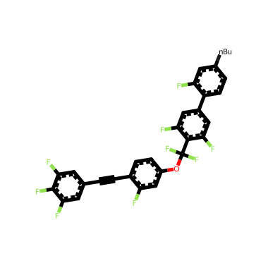 CCCCc1ccc(-c2cc(F)c(C(F)(F)Oc3ccc(C#Cc4cc(F)c(F)c(F)c4)c(F)c3)c(F)c2)c(F)c1